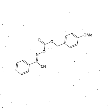 COc1ccc(COC(=O)O/N=C(\C#N)c2ccccc2)cc1